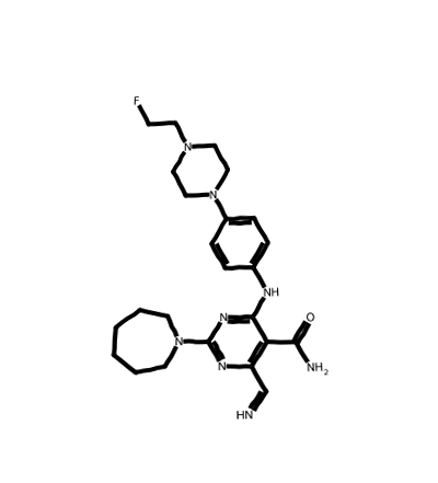 N=Cc1nc(N2CCCCCC2)nc(Nc2ccc(N3CCN(CCF)CC3)cc2)c1C(N)=O